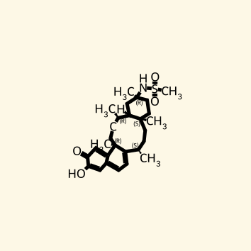 C[C@@H]1CC[C@@]2(C)C3=CC(=O)C(O)=CC3=CC=C2[C@@H](C)CC[C@@]2(C)CC[C@@](C)(NS(C)(=O)=O)C[C@@H]12